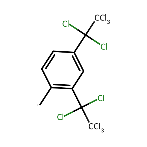 [CH2]c1ccc(C(Cl)(Cl)C(Cl)(Cl)Cl)cc1C(Cl)(Cl)C(Cl)(Cl)Cl